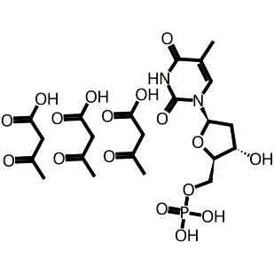 CC(=O)CC(=O)O.CC(=O)CC(=O)O.CC(=O)CC(=O)O.Cc1cn([C@H]2C[C@H](O)[C@@H](COP(=O)(O)O)O2)c(=O)[nH]c1=O